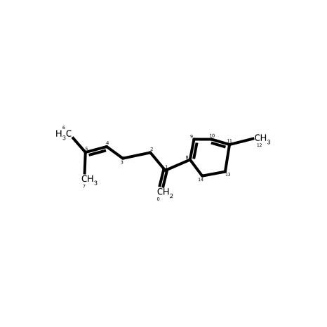 C=C(CCC=C(C)C)C1=CC=C(C)CC1